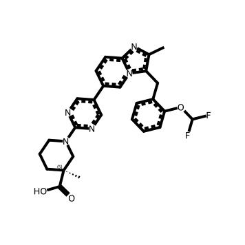 Cc1nc2ccc(-c3cnc(N4CCC[C@](C)(C(=O)O)C4)nc3)cn2c1Cc1ccccc1OC(F)F